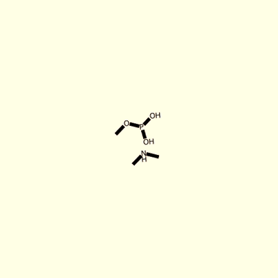 CNC.COP(O)O